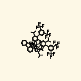 CC(C)CC1=Cc2c(ccc(C(C)C)c2-c2cc(C(F)(F)F)cc(C(F)(F)F)c2)[CH]1[Zr]([Cl])([Cl])([c]1cccc2c1[SiH2]c1ccccc1-2)[CH]1C(CC(C)C)=Cc2c1ccc(C(C)C)c2-c1cc(C(F)(F)F)cc(C(F)(F)F)c1